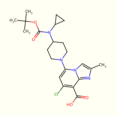 Cc1cn2c(N3CCC(N(C(=O)OC(C)(C)C)C4CC4)CC3)cc(Cl)c(C(=O)O)c2n1